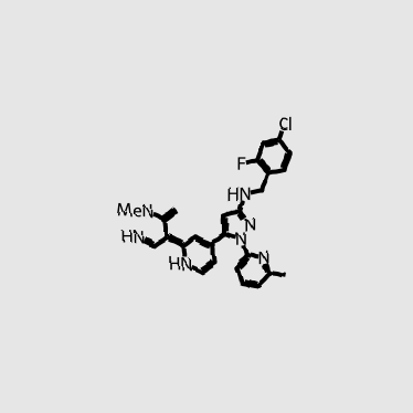 C=C(NC)/C(C=N)=C1\C=C(c2cc(NCc3ccc(Cl)cc3F)nn2-c2cccc(C)n2)C=CN1